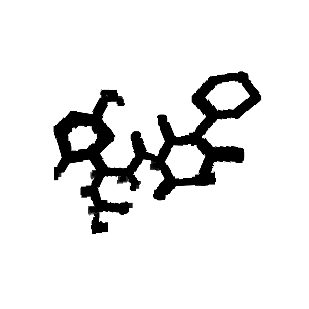 Cc1ccc(F)c([C@H](N[S@+]([O-])C(C)(C)C)[C@@H](F)C(=O)[C@@H]2C(=O)NC(=O)N(C3CCOCC3)C2=O)c1